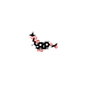 C[C@H](CCC(=O)OC(C)(C)C)[C@H]1CC[C@H]2[C@@H]3[C@H](O)C[C@@H]4C[C@H](OCC5CO5)CC[C@]4(C)[C@H]3C[C@H](O)[C@]12C